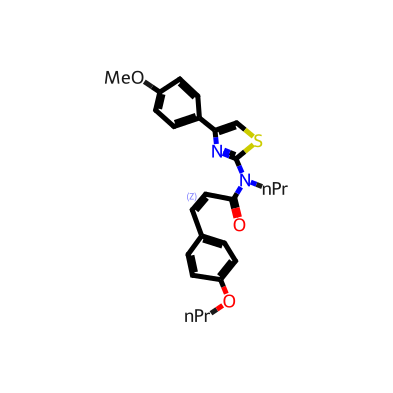 CCCOc1ccc(/C=C\C(=O)N(CCC)c2nc(-c3ccc(OC)cc3)cs2)cc1